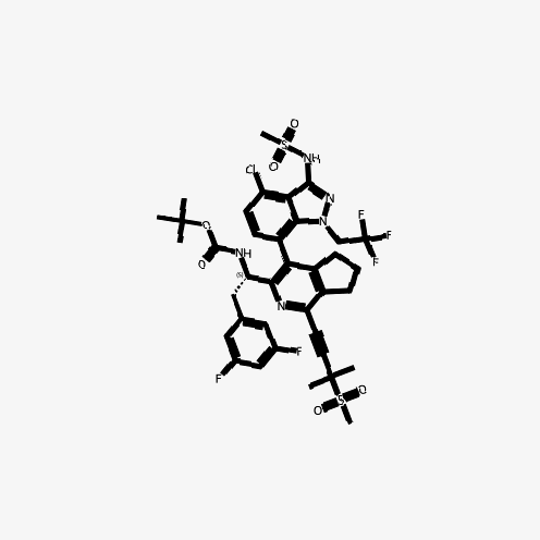 CC(C)(C)OC(=O)N[C@@H](Cc1cc(F)cc(F)c1)c1nc(C#CC(C)(C)S(C)(=O)=O)c2c(c1-c1ccc(Cl)c3c(NS(C)(=O)=O)nn(CC(F)(F)F)c13)CCC2